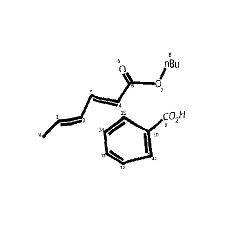 C/C=C/C=C/C(=O)OCCCC.O=C(O)c1ccccc1